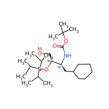 CC(C)[Si](O[C@@H](CO)[C@H](CC1CCCCC1)NC(=O)OC(C)(C)C)(C(C)C)C(C)C